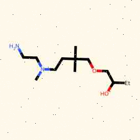 CCC(O)COCC(C)(C)CCN(C)CCN